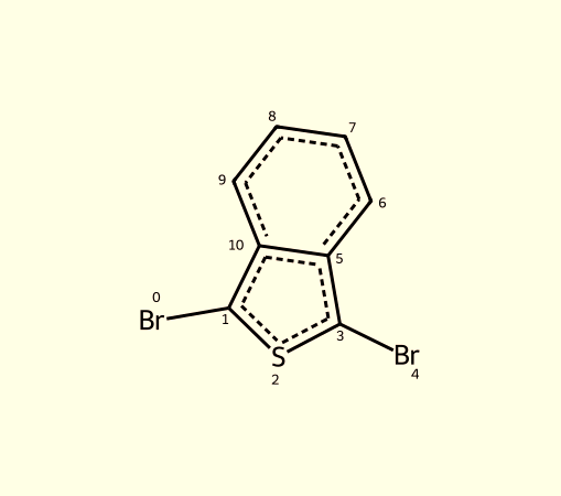 Brc1sc(Br)c2ccccc12